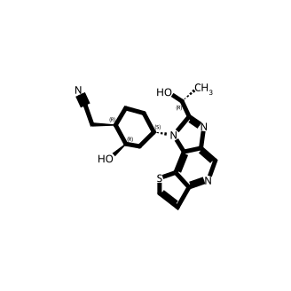 C[C@@H](O)c1nc2cnc3ccsc3c2n1[C@H]1CC[C@H](CC#N)[C@H](O)C1